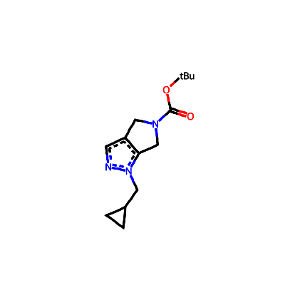 CC(C)(C)OC(=O)N1Cc2cnn(CC3CC3)c2C1